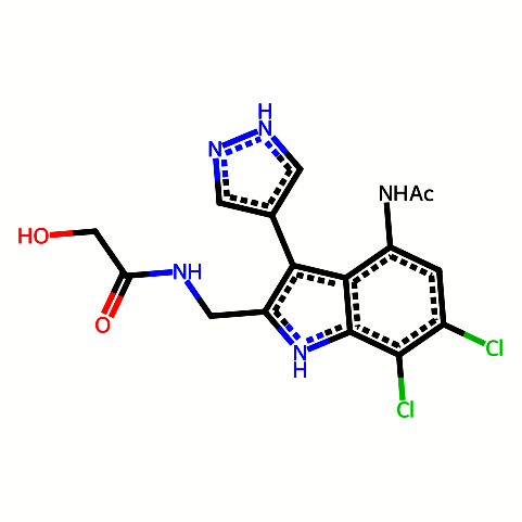 CC(=O)Nc1cc(Cl)c(Cl)c2[nH]c(CNC(=O)CO)c(-c3cn[nH]c3)c12